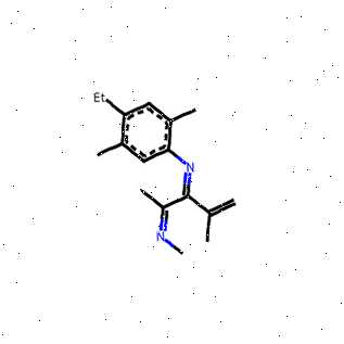 C=C(C)C(=N/c1cc(C)c(CC)cc1C)/C(C)=N\C